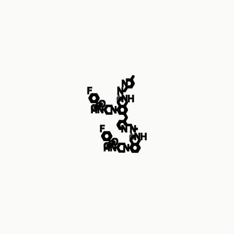 Cc1ccc(CN(C)C[C@H]2Cc3c(cc(Cc4cccnc4CN(C)C[C@H]4Cc5c(cccc5N5CCC(NS(=O)(=O)c6ccc(F)cc6)CC5)CN4)cc3N3CCC(NS(=O)(=O)c4ccc(F)cc4)CC3)CN2)nc1